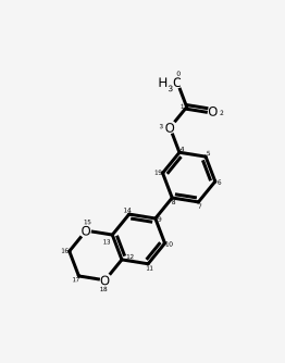 CC(=O)Oc1cccc(-c2ccc3c(c2)OCCO3)c1